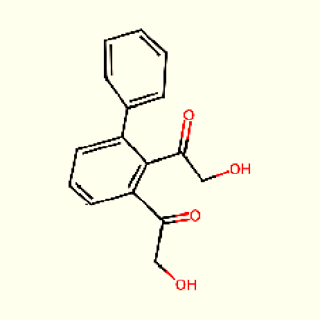 O=C(CO)c1[c]ccc(-c2ccccc2)c1C(=O)CO